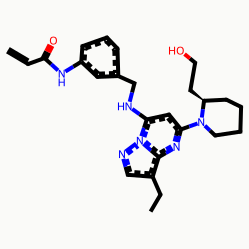 C=CC(=O)Nc1cccc(CNc2cc(N3CCCC[C@@H]3CCO)nc3c(CC)cnn23)c1